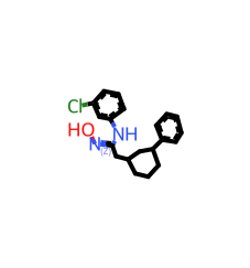 O/N=C(/CC1CCCC(c2ccccc2)C1)Nc1cccc(Cl)c1